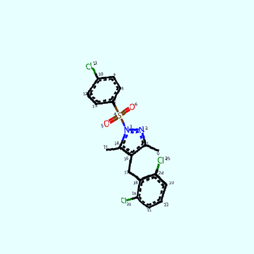 Cc1nn(S(=O)(=O)c2ccc(Cl)cc2)c(C)c1Cc1c(Cl)cccc1Cl